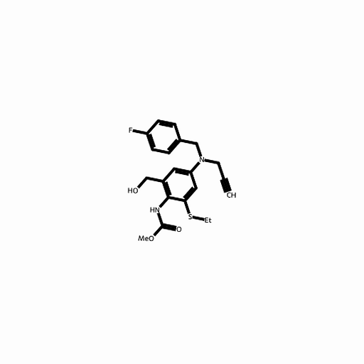 C#CCN(Cc1ccc(F)cc1)c1cc(CO)c(NC(=O)OC)c(SCC)c1